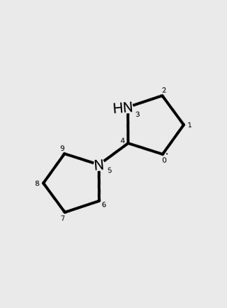 [CH]1CCNC1N1CCCC1